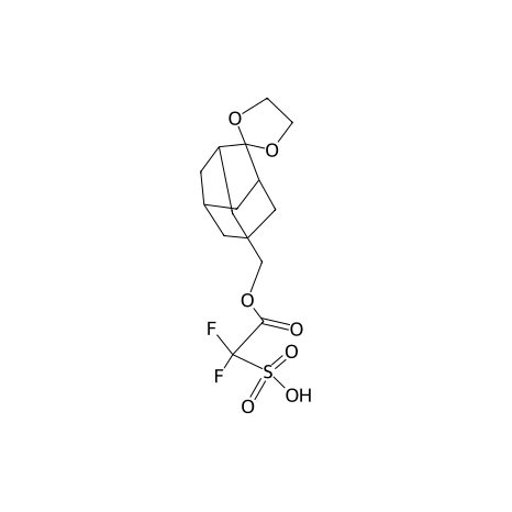 O=C(OCC12CC3CC(C1)C1(OCCO1)C(C3)C2)C(F)(F)S(=O)(=O)O